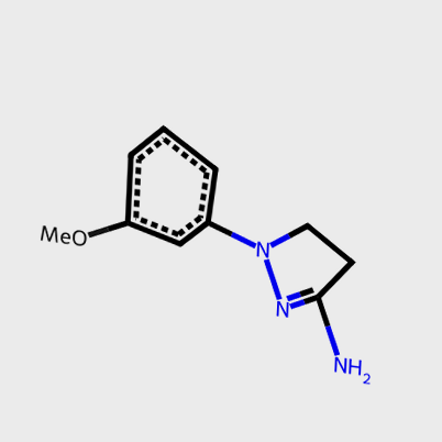 COc1cccc(N2CCC(N)=N2)c1